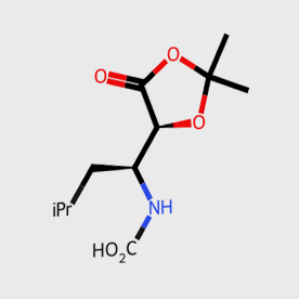 CC(C)C[C@H](NC(=O)O)[C@@H]1OC(C)(C)OC1=O